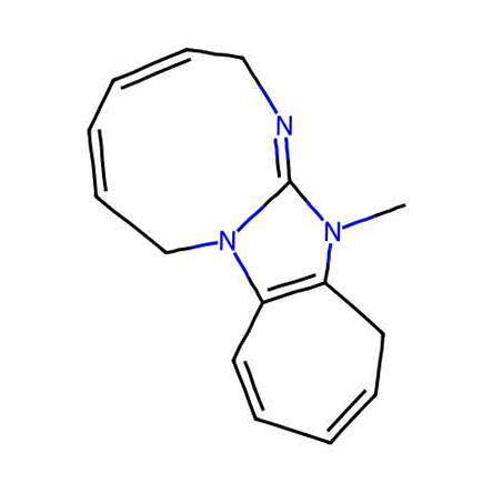 CN1C2=C(C=CC=CC2)N2C/C=C\C=C/C/N=C/12